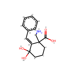 NCC1(C(=O)O)CCCC(O)(O)C1=Cc1ccccc1